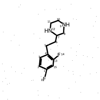 Fc1ccc(CCC2CNCCN2)c(F)c1